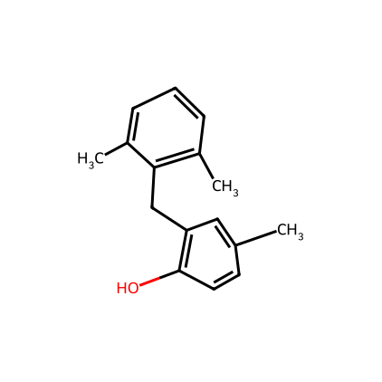 Cc1ccc(O)c(Cc2c(C)cccc2C)c1